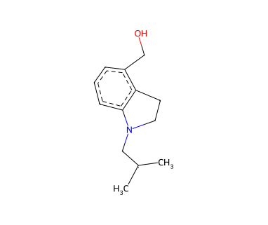 C[C](C)CN1CCc2c(CO)cccc21